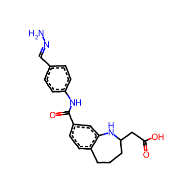 NN=Cc1ccc(NC(=O)c2ccc3c(c2)NC(CC(=O)O)CCC3)cc1